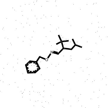 CC(C)CC(/C=N/OCc1ccccc1)C(C)(C)C